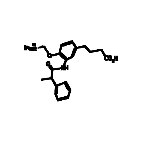 CCC[C@@H](C)COc1ccc(CCCC(=O)O)cc1NC(=O)C(C)c1ccccc1